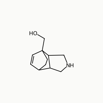 OCC12C=CC(CC1)C1CNCC12